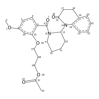 COc1ccc(C(=O)N2CCCCC2N2C(=O)CCc3ccccc32)c(OCCCOC(C)=O)c1